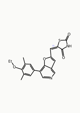 CCOc1c(C)cc(-c2cncc3cc(/C=C4/SC(=O)NC4=O)oc23)cc1C